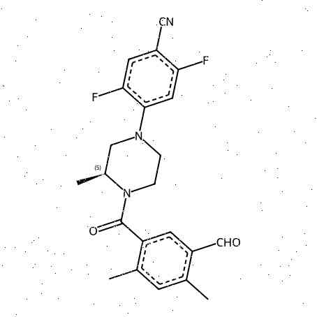 Cc1cc(C)c(C(=O)N2CCN(c3cc(F)c(C#N)cc3F)C[C@@H]2C)cc1C=O